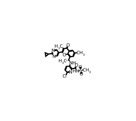 Cc1cc([C@@H](C)Nc2ccc(Cl)nc2C(=O)NS(C)(=O)=O)c2oc(-c3cnc(C4CC4)nc3)c(C)c(=O)c2c1